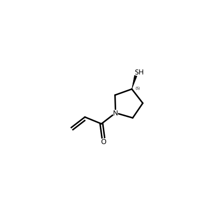 C=CC(=O)N1CC[C@H](S)C1